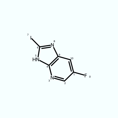 Fc1cnc2[nH]c(I)nc2c1